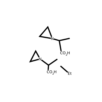 CC(C(=O)O)N1CC1.CC(C(=O)O)N1CC1.CCC